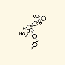 O=C(O)c1c2c(nn1-c1ccc(Oc3ccc(F)cc3)cc1)[C@H](N1CCN(S(=O)(=O)c3ccccc3[N+](=O)[O-])CC1)CCN2